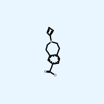 O=C(Cl)c1ccc2c(c1)CCN(C1=CC=C1)CC2